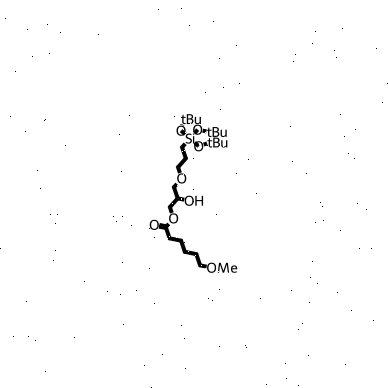 COCCCCCC(=O)OCC(O)COCCC[Si](OC(C)(C)C)(OC(C)(C)C)OC(C)(C)C